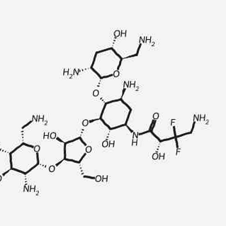 NC[C@@H]1O[C@H](O[C@H]2[C@@H](O)[C@H](O[C@@H]3[C@@H](O)[C@H](NC(=O)[C@@H](O)C(F)(F)CN)C[C@H](N)[C@H]3O[C@H]3O[C@H](CN)[C@@H](O)C[C@H]3N)O[C@@H]2CO)[C@H](N)[C@@H](O)[C@@H]1O